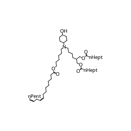 CCCCC/C=C\C/C=C\CCCCCCCC(=O)OCCCCCCN(CCCCC(COC(=O)CCCCCCC)COC(=O)CCCCCCC)C1CCC(O)CC1